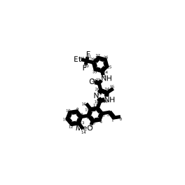 CC=Cc1cc(OC)c(-c2ccccc2C)c(C)c1-c1nc(C(=O)Nc2cccc(C(F)(F)CC)c2)c(C)[nH]1